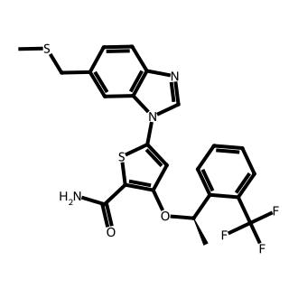 CSCc1ccc2ncn(-c3cc(O[C@H](C)c4ccccc4C(F)(F)F)c(C(N)=O)s3)c2c1